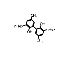 CCCCCCc1cc(C)cc(-c2cc(C)cc(CCCCCC)c2O)c1O